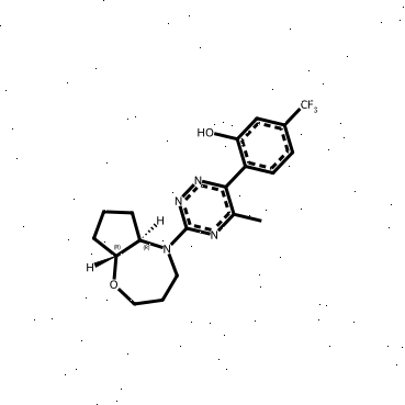 Cc1nc(N2CCCO[C@@H]3CCC[C@H]32)nnc1-c1ccc(C(F)(F)F)cc1O